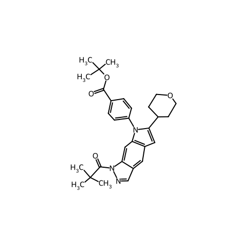 CC(C)(C)OC(=O)c1ccc(-n2c(C3CCOCC3)cc3cc4cnn(C(=O)C(C)(C)C)c4cc32)cc1